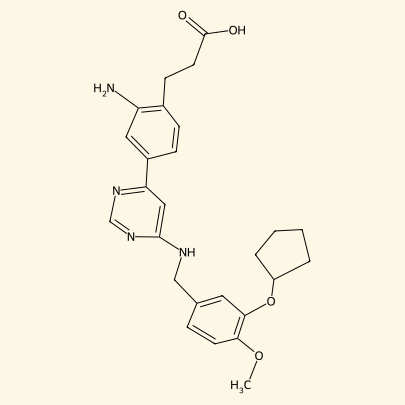 COc1ccc(CNc2cc(-c3ccc(CCC(=O)O)c(N)c3)ncn2)cc1OC1CCCC1